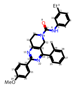 CCc1cccc(NC(=O)N2CCc3nc(-c4ccc(OC)cc4)nc(-c4ccccc4C)c3C2)c1